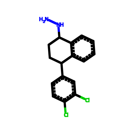 NNC1CCC(c2ccc(Cl)c(Cl)c2)c2ccccc21